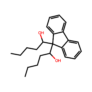 CCCCC(O)C1(C(O)CCCC)c2ccccc2-c2ccccc21